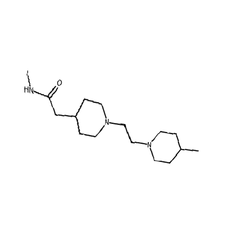 CC1CCN(CCN2CCC(CC(=O)NI)CC2)CC1